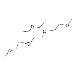 CCOCC.COCCOCCOCCOC